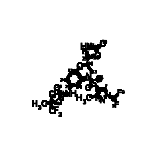 Cc1nn(C(F)F)cc1S(=O)(=O)N1C[C@H](c2n[nH]c(=O)o2)Oc2ccc(NC(=O)OC(C)(C)C(F)(F)F)cc21